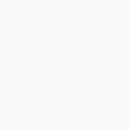 O=[N+]([O-])c1c(I)ccc2c1Cc1ccccc1C2